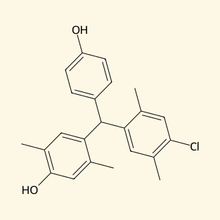 Cc1cc(C(c2ccc(O)cc2)c2cc(C)c(Cl)cc2C)c(C)cc1O